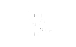 CN(C)/C(Cl)=N/c1ccccc1.Cl